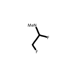 CNC(F)CF